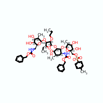 C=CCO[C@H]1[C@H](O[C@@H]2[C@@H](O)[C@H](C)C[C@H](NC(=O)OCc3ccccc3)[C@H]2O[C@H]2O[C@H](COS(=O)(=O)c3ccc(C)cc3)[C@@H](O)[C@H](O)[C@H]2C)O[C@H](CC)[C@H]1O[C@H]1O[C@@H](CNC(=O)OCc2ccccc2)[C@@H](O)[C@H](O)[C@H]1C